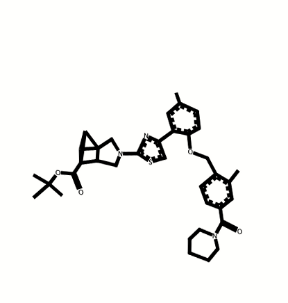 Cc1ccc(OCc2ccc(C(=O)N3CCCCC3)cc2C)c(-c2csc(N3CC4C5(C3)C3C5C43C(=O)OC(C)(C)C)n2)c1